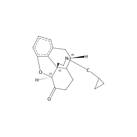 O=C1CCC2[C@H]3Cc4cccc5c4[C@@]2(CCN3CC2CC2)[C@@H]1O5